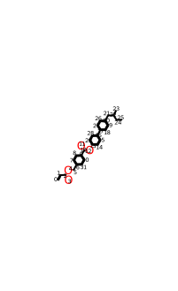 C=CC(=O)OCc1ccc(C(=O)Oc2ccc(-c3ccc(CC(C)CC)cc3)cc2)cc1